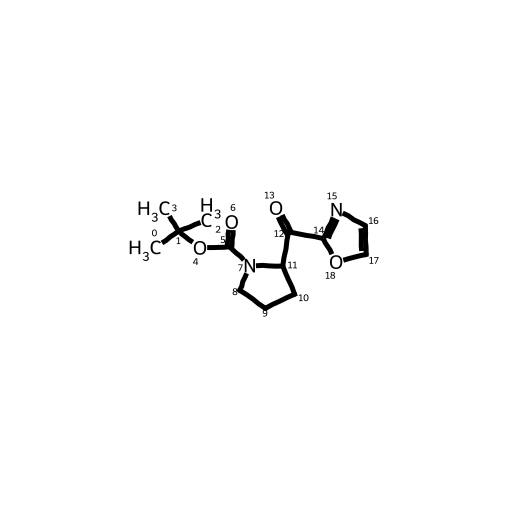 CC(C)(C)OC(=O)N1CCCC1C(=O)c1ncco1